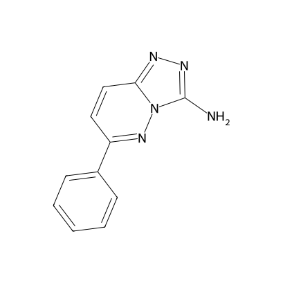 Nc1nnc2ccc(-c3ccccc3)nn12